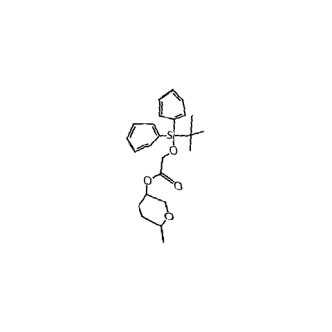 CC1CCC(OC(=O)CO[Si](c2ccccc2)(c2ccccc2)C(C)(C)C)CO1